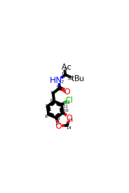 CC(=O)C(NC(=O)Cc1ccc2c(c1Cl)OCO2)C(C)(C)C